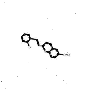 COc1ccc2nc(/C=C/c3ccccc3Br)ccc2c1